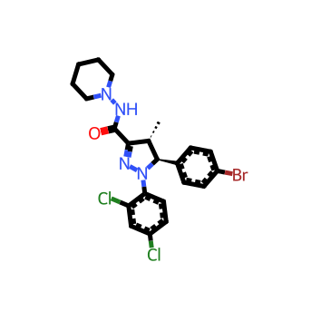 C[C@H]1C(C(=O)NN2CCCCC2)=NN(c2ccc(Cl)cc2Cl)[C@@H]1c1ccc(Br)cc1